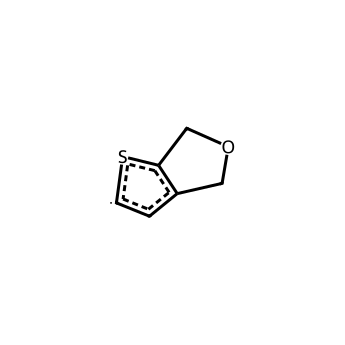 [c]1cc2c(s1)COC2